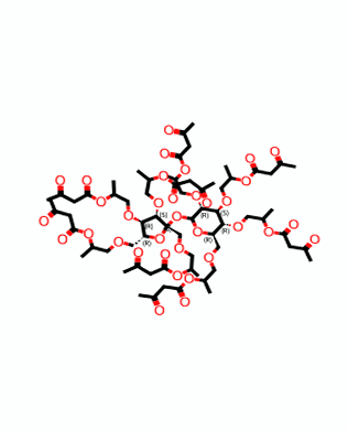 CC(=O)CC(=O)OC(C)COC[C@H]1O[C@@](COCC(C)OC(=O)CC(C)=O)(OC2O[C@H](COCC(C)OC(=O)CC(C)=O)[C@@H](OCC(C)OC(=O)CC(C)=O)[C@H](OCC(C)OC(=O)CC(C)=O)[C@H]2OCC(C)OC(=O)CC(C)=O)[C@@H](OCC(C)OC(=O)CC(C)=O)[C@@H]1OCC(C)OC(=O)CC(C)=O